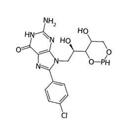 Nc1nc2c(nc(-c3ccc(Cl)cc3)n2C[C@@H](O)C2OPOCC2O)c(=O)[nH]1